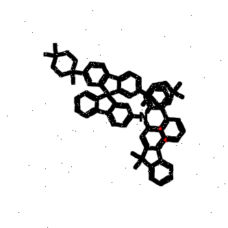 CC1(C)CCC(C)(c2ccc3c(c2)C2(c4ccccc4-c4ccc(N(c5ccc6c(c5)C(C)(C)c5ccccc5-6)c5ccccc5-c5ccccc5)cc42)c2cc(C4(C)CCC(C)(C)CC4)ccc2-3)CC1